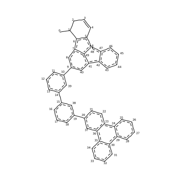 CC1CC=Cc2c1c1cc(-c3cccc(-c4cccc(-c5ccc6c7ccccc7c7ccccc7c6c5)c4)c3)cc3c4ccccc4n2c13